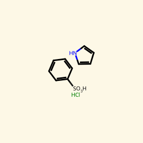 Cl.O=S(=O)(O)c1ccccc1.c1cc[nH]c1